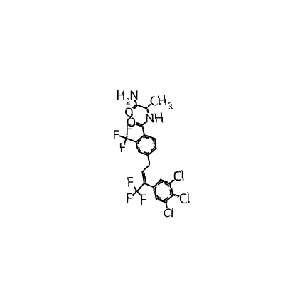 CC(NC(=O)c1ccc(C/C=C(\c2cc(Cl)c(Cl)c(Cl)c2)C(F)(F)F)cc1C(F)(F)F)C(N)=O